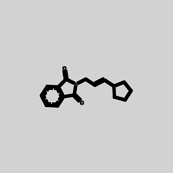 O=C1c2ccccc2C(=O)N1CC=CC1CCCC1